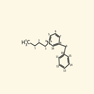 CCCC[n+]1cccc(Cc2ccccc2)c1